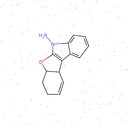 Nn1c2c(c3ccccc31)C1C=CCCC1O2